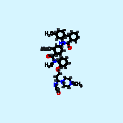 COc1cc(NC(=O)c2ccccc2-c2ccc(C)cc2)ccc1C(=O)N(C)c1ccccc1OCCC(N=C=O)N1CCN(C)CC1